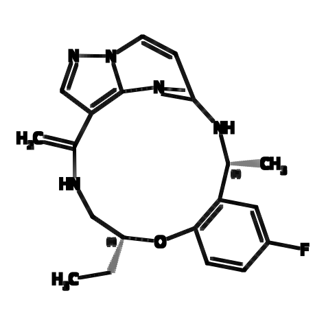 C=C1NC[C@@H](CC)Oc2ccc(F)cc2[C@@H](C)Nc2ccn3ncc1c3n2